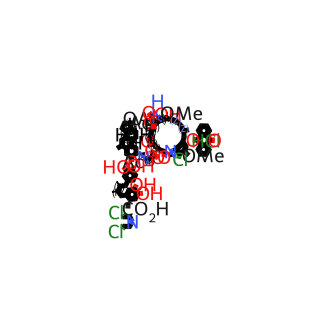 CC(=O)O.CC(=O)O[C@]1(C(C)=O)CC[C@H]2[C@@H]3C=C(C)C4=CC(=O)CC[C@]4(C)[C@H]3CC[C@@]21C.CN(CCCl)CCCl.COc1cc2cc(c1Cl)N(C)C(=O)C[C@H](OC(=O)[C@H](C)N(C)C(C)=O)[C@]1(C)O[C@H]1[C@H](C)[C@@H]1C[C@@](O)(NC(=O)O1)[C@H](OC)/C=C\C=C(\C)C2.C[C@H](Cc1ccc(O)c(O)c1)[C@@H](C)Cc1ccc(O)c(O)c1.Cl.O=C1c2ccccc2C(=O)c2ccccc21